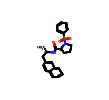 O=C(O)[C@H](Cc1ccc2ccccc2c1)NC(=O)[C@@H]1CCCN1S(=O)(=O)c1ccccc1